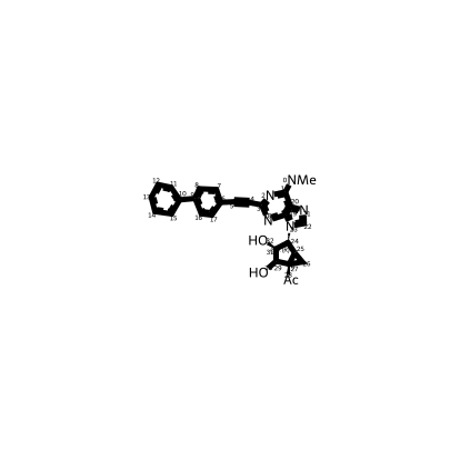 CNc1nc(C#Cc2ccc(-c3ccccc3)cc2)nc2c1ncn2[C@@H]1C2C[C@]2(C(C)=O)C(O)[C@H]1O